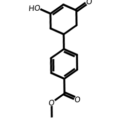 COC(=O)c1ccc(C2CC(=O)C=C(O)C2)cc1